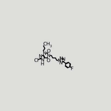 CCCCn1c(=O)n(CCCCn2nnc(-c3ccc(F)cc3)n2)c(=O)c2[nH]c(Cl)nc21